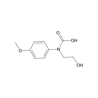 COc1ccc(N(CCO)C(=O)O)cc1